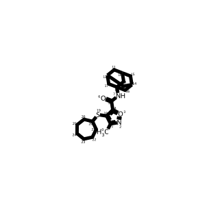 Cc1noc(C(=O)NC23CC4CC(CC(C4)C2)C3)c1SC1CCCCCC1